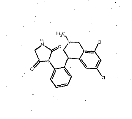 CN1Cc2c(Cl)cc(Cl)cc2C(c2ccccc2N2C(=O)CNC2=O)C1